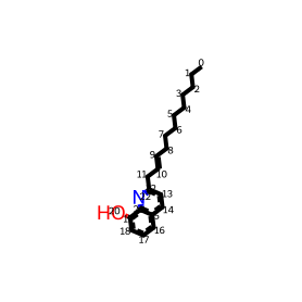 CCCCCCCCCC=CCc1ccc2cccc(O)c2n1